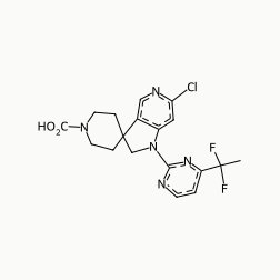 CC(F)(F)c1ccnc(N2CC3(CCN(C(=O)O)CC3)c3cnc(Cl)cc32)n1